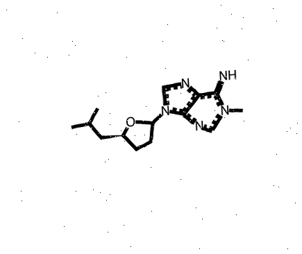 CC(C)C[C@@H]1CCC(n2cnc3c(=N)n(C)cnc32)O1